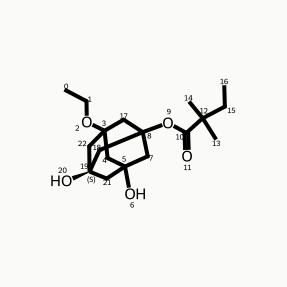 CCOC12CC3(O)CC(OC(=O)C(C)(C)CC)(C1)C[C@](O)(C3)C2